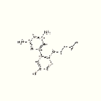 COCCOc1ccc(Cl)cc1-c1nc(N)nc(N)n1